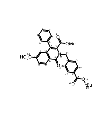 COC(=O)c1c(-c2ccccc2)c2cc(C(=O)O)ccc2c(=O)n1Cc1ccc(C(=O)OC(C)(C)C)cc1